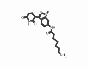 Cn1nc(C2CCC(=O)NC2=O)c2ccc(NC(=O)CCCCCCN)cc21